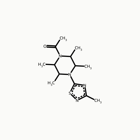 CC(=O)N1C(C)C(C)N(c2nc(C)ns2)C(C)C1C